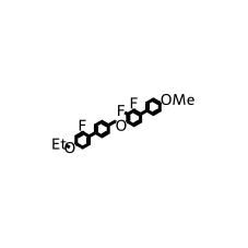 CCOC1C=C(F)C(c2ccc(COc3ccc(-c4ccc(OC)cc4)c(F)c3F)cc2)=CC1